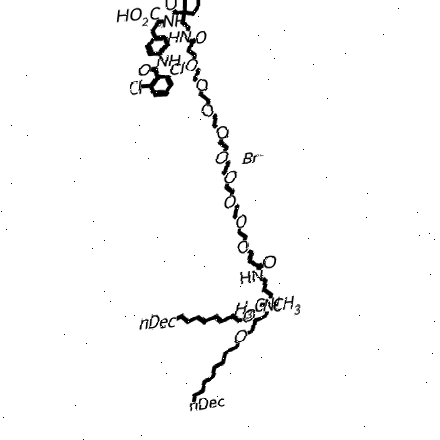 CCCCCCCCCCCCCCCCCCOCC(C[N+](C)(C)CCCNC(=O)CCOCCOCCOCCOCCOCCOCCOCCOCCOCCC(=O)NCCC1(C(=O)N[C@@H](Cc2ccc(NC(=O)c3c(Cl)cccc3Cl)cc2)C(=O)O)CCCC1)OCCCCCCCCCCCCCCCCCC.[Br-]